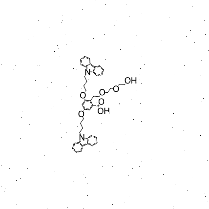 O=C(O)c1cc(OCCCCn2c3ccccc3c3ccccc32)cc(OCCCCn2c3ccccc3c3ccccc32)c1CCOCCOCCO